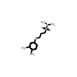 Cc1cc(OCCCS(=O)(=O)N(C)C)ccc1N